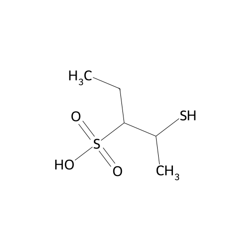 CCC(C(C)S)S(=O)(=O)O